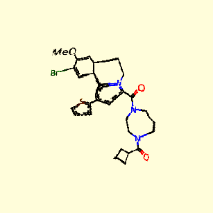 COC1=CC2CCn3c(C(=O)N4CCCN(C(=O)C5CCC5)CC4)cc(-c4cccs4)c3C2C=C1Br